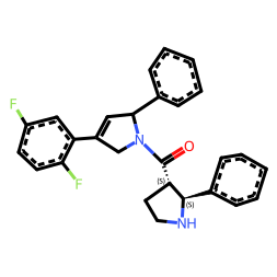 O=C([C@H]1CCN[C@@H]1c1ccccc1)N1CC(c2cc(F)ccc2F)=CC1c1ccccc1